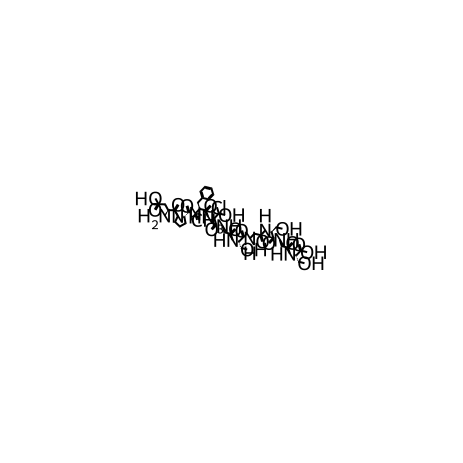 CN(C(=O)[C@@H]1CCCN1C(=O)[C@@H](N)CC(=O)O)[C@@H](Cc1ccccc1)C(=O)N[C@H](C(=O)NCC(=O)N[C@@H](CO)C(=O)NCC(=O)N[C@@H](CO)C(=O)NCC(=O)N[C@@H](CO)C(=O)O)C(O)Cl